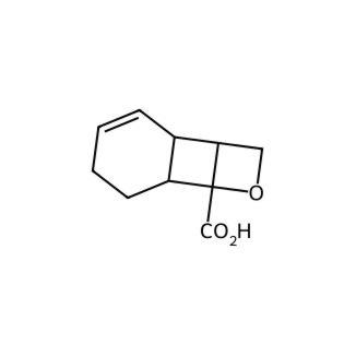 O=C(O)C12OCC1C1C=CCCC12